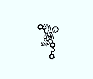 CC(C)(C)OC(=O)C(Cc1ccc(OCc2ccccc2)cc1)NC(=O)[C@@H](Cc1c[nH]c2ccccc12)NC(=O)N1CCCCCC1